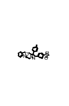 Cc1ccc(-c2c(-c3ccc(S(C)(=O)=O)cc3)nn(CC#N)c2COCc2ccccc2)cc1